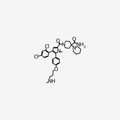 CNCCCOc1ccc(-c2c(-c3ccc(Cl)cc3Cl)cc(C(=O)N3CCC(C(N)=O)(N4CCCCC4)CC3)n2C)cc1